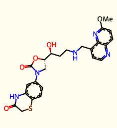 COc1ccc2nccc(CNCC[C@H](O)[C@@H]3CN(c4ccc5c(c4)NC(=O)CS5)C(=O)O3)c2n1